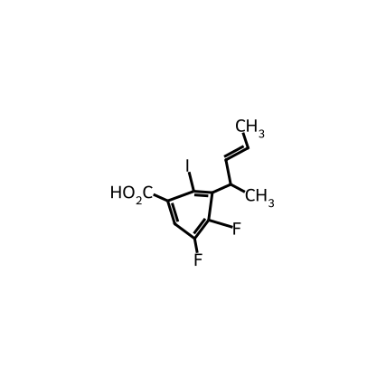 C/C=C/C(C)c1c(F)c(F)cc(C(=O)O)c1I